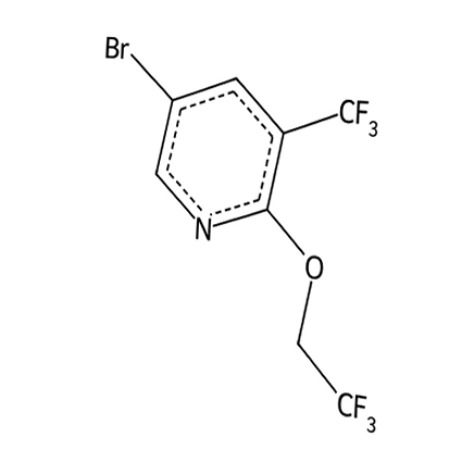 FC(F)(F)COc1ncc(Br)cc1C(F)(F)F